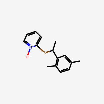 Cc1ccc(C)c(C(C)Sc2cccc[n+]2[O-])c1